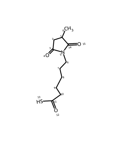 CC1CC(=O)N(CCCCCC(=O)S)C1=O